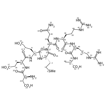 CSCC[C@H](NC(=O)[C@H](CCC(=O)O)NC(=O)[C@H](CCC(=O)O)NC(=O)[C@@H](N)CC(=O)O)C(=O)N[C@@H](CCC(N)=O)C(=O)N[C@@H](CCCNC(=N)N)C(=O)N[C@@H](CCCNC(=N)N)C(=O)N[C@@H](C)C(=O)O